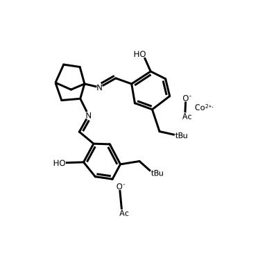 CC(=O)[O-].CC(=O)[O-].CC(C)(C)Cc1ccc(O)c(C=NC2CC3CCC2(N=Cc2cc(CC(C)(C)C)ccc2O)C3)c1.[Co+2]